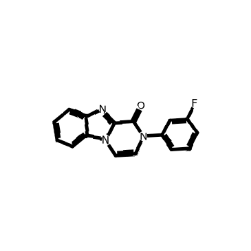 O=c1c2nc3ccccc3n2ccn1-c1cccc(F)c1